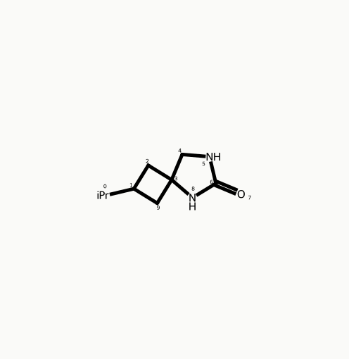 CC(C)C1CC2(CNC(=O)N2)C1